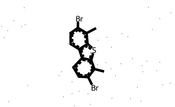 Cc1c(Br)ccc2c1sc1c(C)c(Br)ccc12